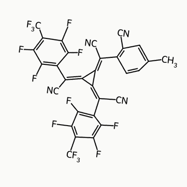 Cc1ccc(/C(C#N)=C2/C(=C(C#N)c3c(F)c(F)c(C(F)(F)F)c(F)c3F)/C2=C(/C#N)c2c(F)c(F)c(C(F)(F)F)c(F)c2F)c(C#N)c1